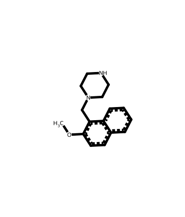 COc1ccc2ccccc2c1CN1CCNCC1